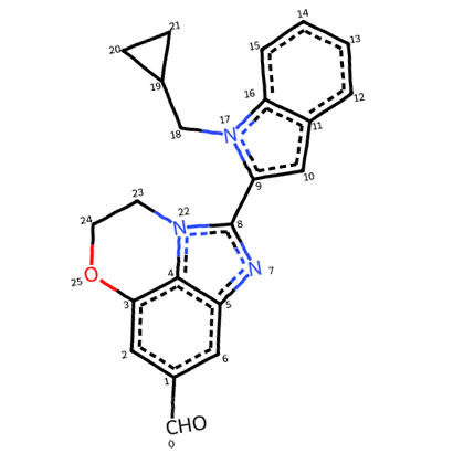 O=Cc1cc2c3c(c1)nc(-c1cc4ccccc4n1CC1CC1)n3CCO2